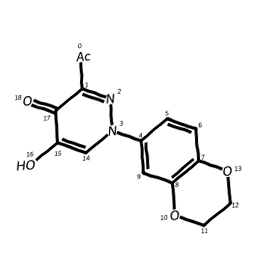 CC(=O)c1nn(-c2ccc3c(c2)OCCO3)cc(O)c1=O